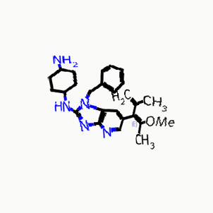 C=C(C)/C(=C(/C)OC)c1cnc2nc(NC3CCC(N)CC3)n(Cc3ccccc3)c2c1